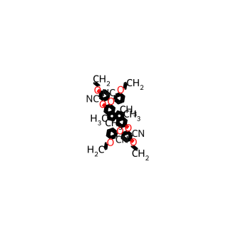 C=CCOc1cccc(Oc2cc3c(cc2Oc2cccc(OCC=C)c2C#N)C2(CC3(C)C)CC(C)(C)c3cc(Oc4cccc(OCC=C)c4C#N)c(Oc4cccc(OCC=C)c4C#N)cc32)c1C#N